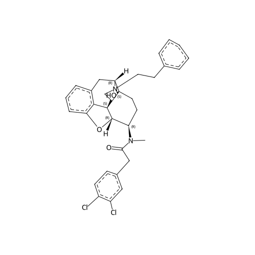 CN(C(=O)Cc1ccc(Cl)c(Cl)c1)[C@@H]1CC[C@@]2(O)[C@H]3Cc4cccc5c4[C@@]2(CCN3CCc2ccccc2)[C@H]1O5